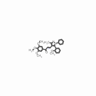 COc1ccccc1-c1c(/C=C/C(=O)c2cc(OC)c(OC)c(OC)c2)c(C)nn1-c1ccccc1